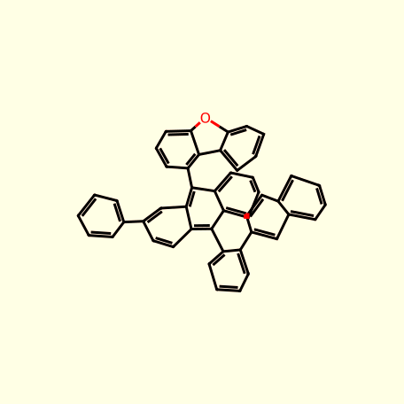 c1ccc(-c2ccc3c(-c4ccccc4-c4ccc5ccccc5c4)c4ccccc4c(-c4cccc5oc6ccccc6c45)c3c2)cc1